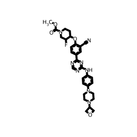 COC(=O)N1CCC(Oc2ccc(-c3ncnc(Nc4ccc(N5CCN(C6COC6)CC5)cc4)n3)cc2C#N)C(F)C1